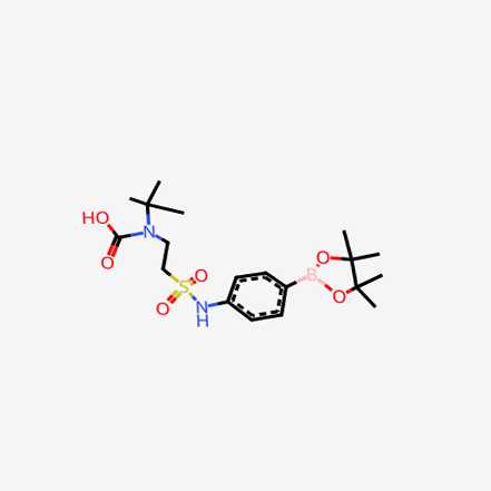 CC(C)(C)N(CCS(=O)(=O)Nc1ccc(B2OC(C)(C)C(C)(C)O2)cc1)C(=O)O